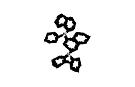 c1ccc(N(c2cccc3ccccc23)c2cc(-n3c4ccccc4c4ccccc43)cc3ccccc23)cc1